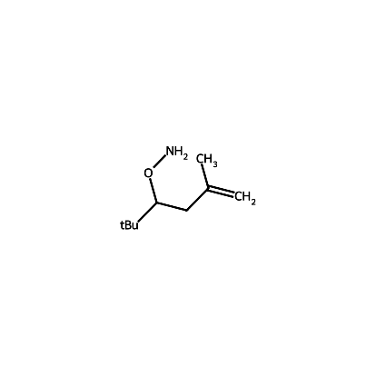 C=C(C)CC(ON)C(C)(C)C